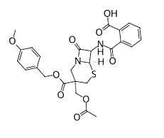 COc1ccc(COC(=O)C2(COC(C)=O)CS[C@@H]3C(NC(=O)c4ccccc4C(=O)O)C(=O)N3C2)cc1